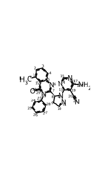 Cc1cccc2nc([C@@H]3CC=NN3c3ncnc(N)c3C#N)n(-c3ccccc3)c(=O)c12